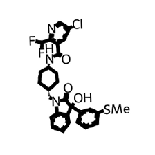 CSc1cccc(C2(O)C(=O)N(C[C@H]3CC[C@H](NC(=O)c4cc(Cl)cnc4C(F)F)CC3)c3ccccc32)c1